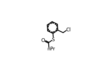 CCCC(=O)Sc1ccccc1CCl